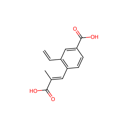 C=Cc1cc(C(=O)O)ccc1/C=C(\C)C(=O)O